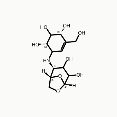 OCC1=CC(N[C@H]2C(O)C(O)[C@@H]3OC[C@H]2O3)[C@H](O)C(O)[C@@H]1O